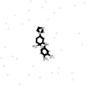 CC1(C)CCC(n2ccnc2)=CC1Nc1ccc([N+](=O)[O-])c(C(F)(F)F)c1